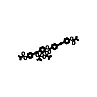 C=C(C)C(=O)Oc1ccc(C#Cc2ccc(C(=O)Oc3ccc(C#Cc4ccc(OC(=O)C(=C)C)cc4)c(OC(=O)C(=C)C)c3OC(=O)C(=C)C)cc2)cc1